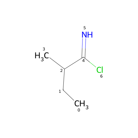 CCC(C)C(=N)Cl